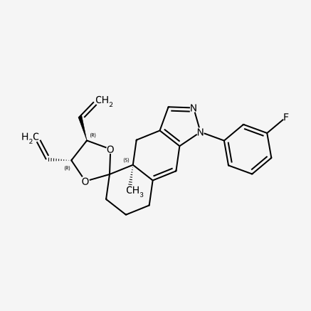 C=C[C@H]1OC2(CCCC3=Cc4c(cnn4-c4cccc(F)c4)C[C@@]32C)O[C@@H]1C=C